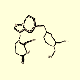 CC(C)CN1CCC(Cc2ccn3ncc(N4CCC(=O)NC4=O)c3c2)CC1C(F)(F)F